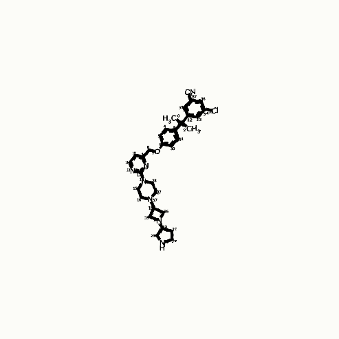 CC(C)(c1ccc(OCc2ccnc(N3CCN(C4CN(C5CCNC5)C4)CC3)n2)cc1)c1cc(Cl)cc(C#N)c1